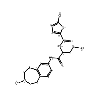 CN1CCc2ccc(NC(=O)C(CCO)NC(=O)c3ccc(Cl)s3)cc2CC1